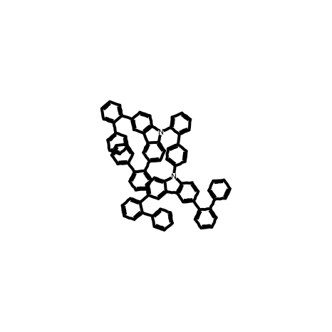 c1ccc(-c2ccccc2-c2ccc3c(c2)c2cc(-c4ccccc4-c4ccccc4)ccc2n3-c2ccc(-c3ccccc3-n3c4ccc(-c5ccccc5-c5ccccc5)cc4c4cc(-c5ccccc5-c5ccccc5)ccc43)cc2)cc1